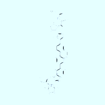 COC(=O)NC(C(=O)N1CCC[C@H]1c1ncc(-c2ccc3c(c2)COc2cc(-c4ccc5nc([C@@H]6[C@H]7CC[C@H](C7)N6C(=O)OC(C)(C)C)[nH]c5c4)ccc2-3)[nH]1)C(C)C